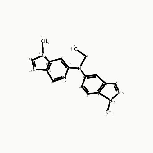 CCN(c1ccc2c(cnn2C)c1)c1cc2c(cn1)ncn2C